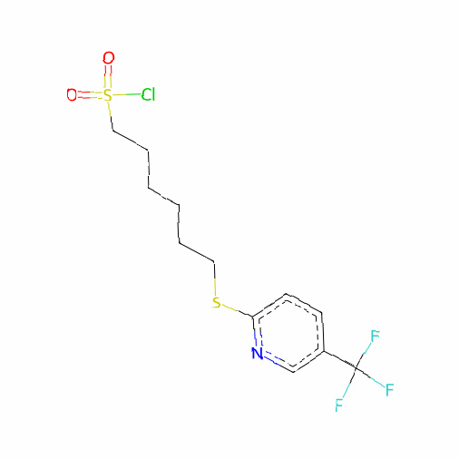 O=S(=O)(Cl)CCCCCCSc1ccc(C(F)(F)F)cn1